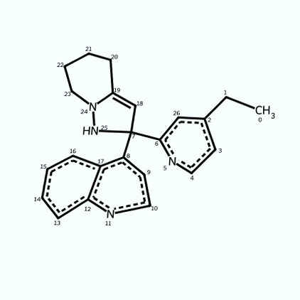 CCc1ccnc(C2(c3ccnc4ccccc34)C=C3CCCCN3N2)c1